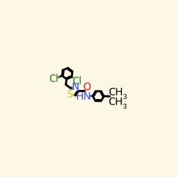 CC(C)c1ccc(NC(=O)c2csc(Cc3c(Cl)cccc3Cl)n2)cc1